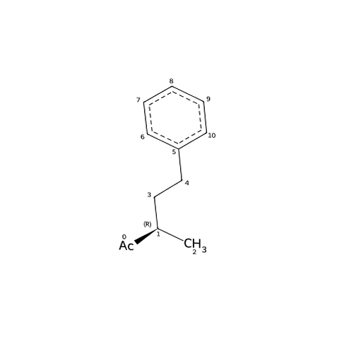 CC(=O)[C@H](C)CCc1ccccc1